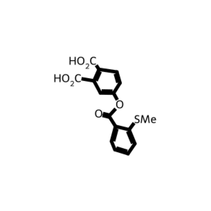 CSc1ccccc1C(=O)Oc1ccc(C(=O)O)c(C(=O)O)c1